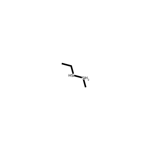 CC[SiH][SiH2]C